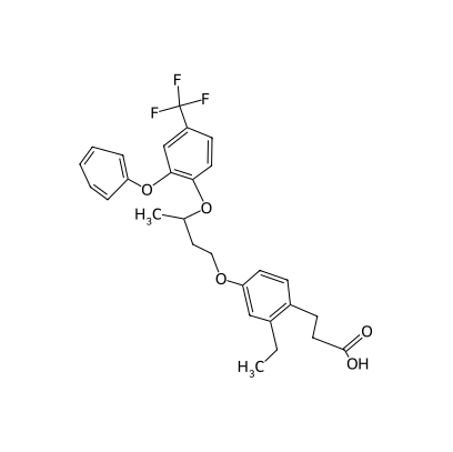 CCc1cc(OCCC(C)Oc2ccc(C(F)(F)F)cc2Oc2ccccc2)ccc1CCC(=O)O